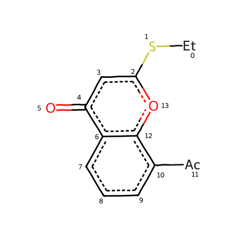 CCSc1cc(=O)c2cccc(C(C)=O)c2o1